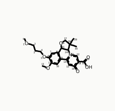 COCCCOc1cc2c(cc1OC)-c1cc(=O)c(C(=O)O)cn1C1C2OCC1(C)C